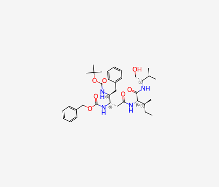 CC[C@H](C)[C@H](NC(=O)C[C@H](NC(=O)OCc1ccccc1)[C@H](Cc1ccccc1)NC(=O)OC(C)(C)C)C(=O)N[C@H](CO)C(C)C